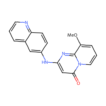 COc1cccn2c(=O)cc(Nc3ccc4ncccc4c3)nc12